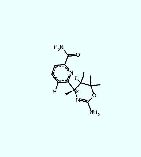 CC1(C)OC(N)=N[C@](C)(c2nc(C(N)=O)ccc2F)C1(F)F